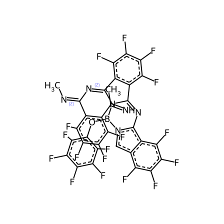 C/N=C(\N=C1\c2c(F)c(F)c(F)c(F)c2C2=Nc3c4c(F)c(F)c(F)c(F)c4cn3B(Oc3c(F)c(F)c(F)c(F)c3F)N21)c1c(F)c(F)c(F)c(F)c1C(C)=N